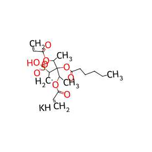 [CH2]C(C(OC(=O)CCCCC)(C(C)OC(=O)C=C)C(C)OC(=O)C=C)S(=O)(=O)O.[KH]